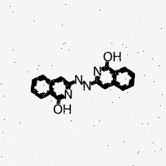 Oc1nc(N=Nc2cc3ccccc3c(O)n2)cc2ccccc12